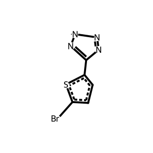 Brc1ccc(C2=N[N]N=N2)s1